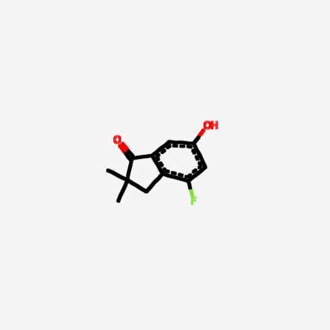 CC1(C)Cc2c(F)cc(O)cc2C1=O